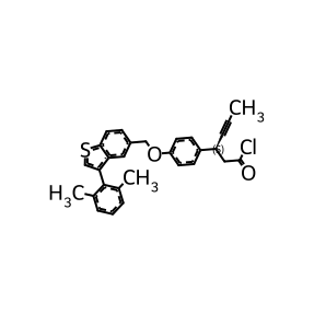 CC#C[C@@H](CC(=O)Cl)c1ccc(OCc2ccc3scc(-c4c(C)cccc4C)c3c2)cc1